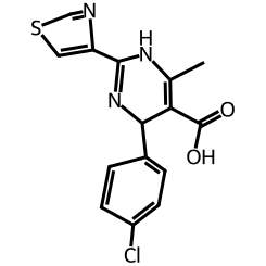 CC1=C(C(=O)O)C(c2ccc(Cl)cc2)N=C(c2cscn2)N1